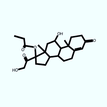 CCC(=O)OC1(C(=O)CO)CCC2C3CCC4=CC(=O)CCC4(C)C3C(O)CC21C